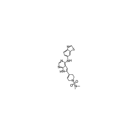 CN(C)S(=O)(=O)N1CC=C(c2cc3c(Nc4ccc5ncsc5c4)ncnc3[nH]2)CC1